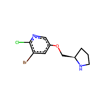 Clc1ncc(OC[C@H]2CCCN2)cc1Br